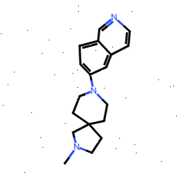 CN1CCC2(CCN(c3ccc4cnccc4c3)CC2)C1